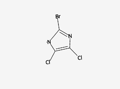 ClC1=C(Cl)N=C(Br)[N]1